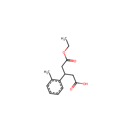 CCOC(=O)CC(CC(=O)O)c1ccccc1C